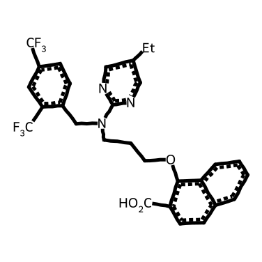 CCc1cnc(N(CCCOc2c(C(=O)O)ccc3ccccc23)Cc2ccc(C(F)(F)F)cc2C(F)(F)F)nc1